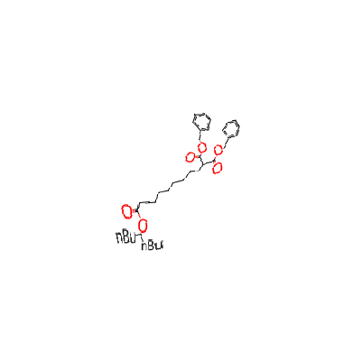 CCCCC(CCCC)OC(=O)CCCCCCCCC(C(=O)OCc1ccccc1)C(=O)OCc1ccccc1